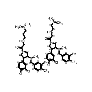 CN(C)CCCNCC(=O)N1CC(c2ccc(Cl)c(Cl)c2)C(N(C)Cc2ccc(C(F)(F)F)c(F)c2)C1.CN(C)CCNCC(=O)N1CC(c2ccc(Cl)c(Cl)c2)C(N(C)Cc2ccc(C(F)(F)F)c(F)c2)C1